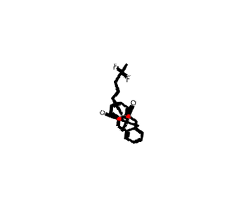 CC(F)(F)CCCN1C(=O)C2C3c4ccccc4C(c4ccccc43)C2C1=O